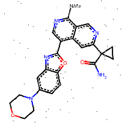 CNc1ncc(-c2nc3cc(N4CCOCC4)ccc3o2)c2cc(C3(C(N)=O)CC3)ncc12